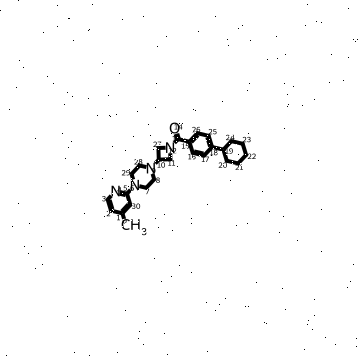 Cc1ccnc(N2CCN(C3CN(C(=O)c4ccc(C5CCCCC5)cc4)C3)CC2)c1